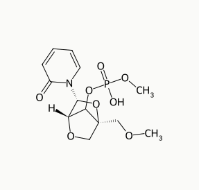 COC[C@]12CO[C@@H](C1OP(=O)(O)OC)[C@H](n1ccccc1=O)O2